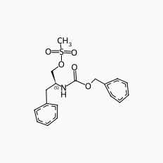 CS(=O)(=O)OC[C@H](Cc1ccccc1)NC(=O)OCc1ccccc1